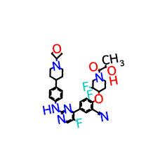 CC(O)C(=O)N1CCC(Oc2ccc(-c3nc(Nc4ccc(C5CCN(C6COC6)CC5)cc4)ncc3F)cc2C#N)C(F)(F)C1